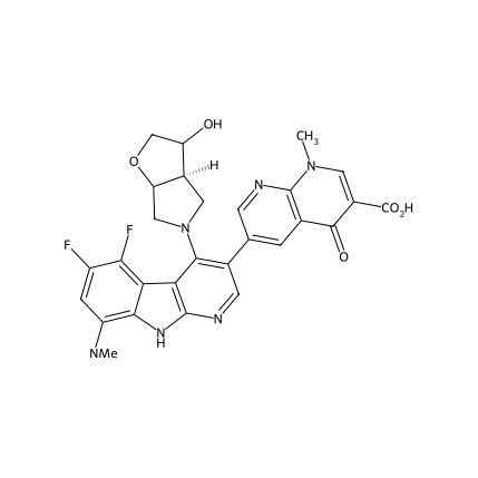 CNc1cc(F)c(F)c2c1[nH]c1ncc(-c3cnc4c(c3)c(=O)c(C(=O)O)cn4C)c(N3CC4OCC(O)[C@H]4C3)c12